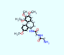 COc1ccc2c(c1)[C@@H](NC(=O)CNC(=O)CN)CCc1cc(OC)c(OC)c(OC)c1-2